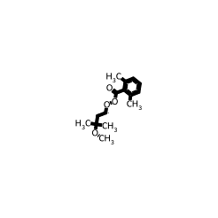 COC(C)(C)C[CH]OOC(=O)c1c(C)cccc1C